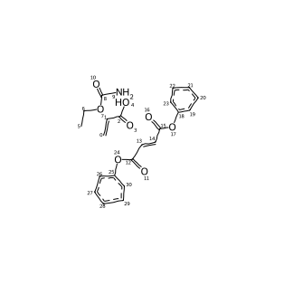 C=CC(=O)O.CCOC(N)=O.O=C(C=CC(=O)Oc1ccccc1)Oc1ccccc1